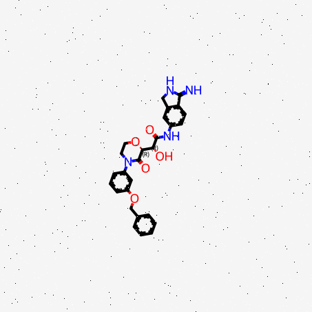 N=C1NCc2cc(NC(=O)[C@H](O)[C@H]3OCCN(c4cccc(OCc5ccccc5)c4)C3=O)ccc21